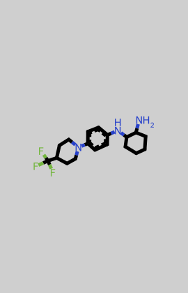 NC1CCCCC1Nc1ccc(N2CCC(C(F)(F)F)CC2)cc1